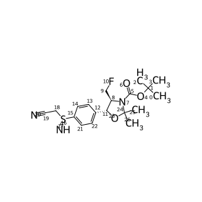 CC(C)(C)OC(=O)N1[C@H](CF)[C@@H](c2ccc(S(=N)CC#N)cc2)OC1(C)C